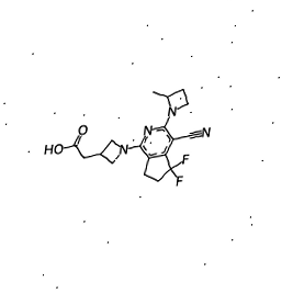 CC1CCN1c1nc(N2CC(CC(=O)O)C2)c2c(c1C#N)C(F)(F)CC2